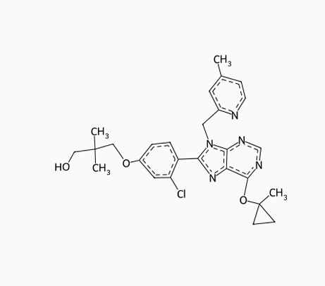 Cc1ccnc(Cn2c(-c3ccc(OCC(C)(C)CO)cc3Cl)nc3c(OC4(C)CC4)ncnc32)c1